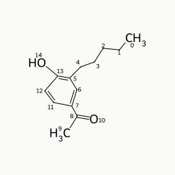 CCCCCc1cc(C(C)=O)ccc1O